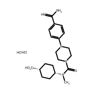 CN(C(=O)N1CCN(c2ccc(C(=N)N)cc2)CC1)[C@H]1CC[C@@H](C(=O)O)CC1.Cl.Cl